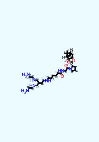 CC1(C)[C@@H]2CC3OB([C@@H]4CCCN4C(=O)CNC(=O)CCCCCNCCC(CNCCN)CNCCN)O[C@@]3(C)[C@H]1C2